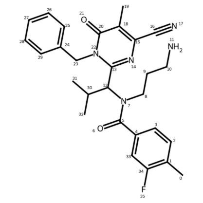 Cc1ccc(C(=O)N(CCCN)C(c2nc(C#N)c(C)c(=O)n2Cc2ccccc2)C(C)C)cc1F